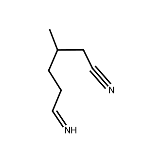 CC(CC#N)CCC=N